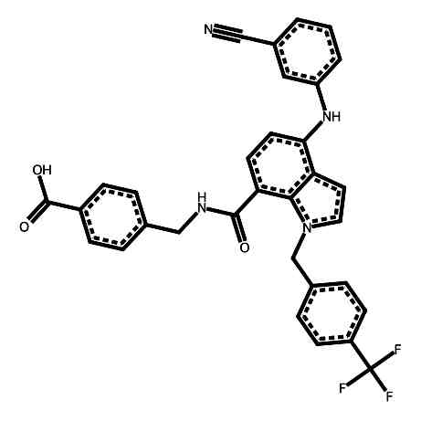 N#Cc1cccc(Nc2ccc(C(=O)NCc3ccc(C(=O)O)cc3)c3c2ccn3Cc2ccc(C(F)(F)F)cc2)c1